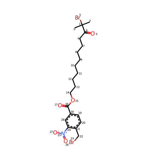 CC(C)(Br)C(=O)CCCCCCCCCOC(=O)c1ccc(CBr)c([N+](=O)[O-])c1